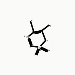 C=S1(=C)C=NC(C)=C(C)C1